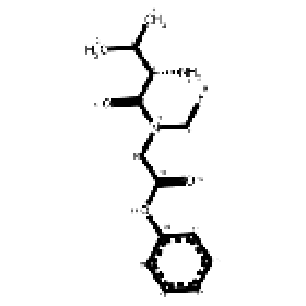 CC(C)[C@H](N)C(=O)N(CF)CC(=O)Oc1ccccc1